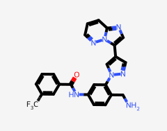 NCc1ccc(NC(=O)c2cccc(C(F)(F)F)c2)cc1-n1cc(-c2cnc3cccnn23)cn1